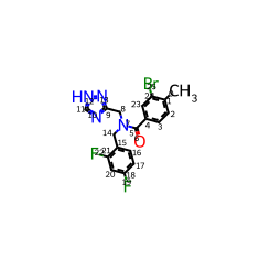 Cc1ccc(C(=O)N(Cc2nc[nH]n2)Cc2ccc(F)cc2F)cc1Br